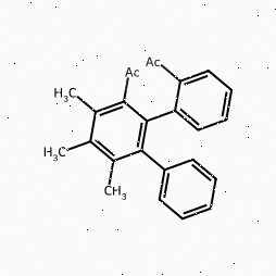 CC(=O)c1ccccc1-c1c(C(C)=O)c(C)c(C)c(C)c1-c1ccccc1